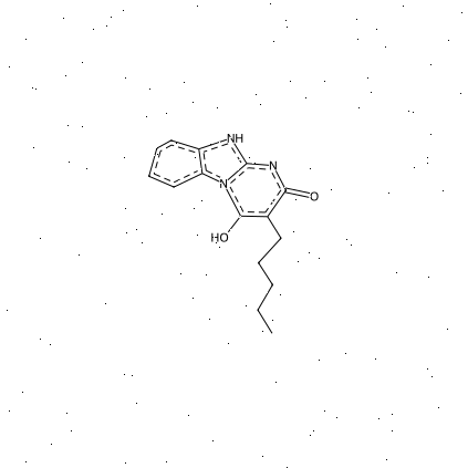 CCCCCc1c(O)n2c(nc1=O)[nH]c1ccccc12